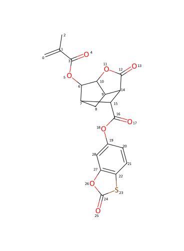 C=C(C)C(=O)OC1C2CC3C1OC(=O)C3C2C(=O)Oc1ccc2sc(=O)oc2c1